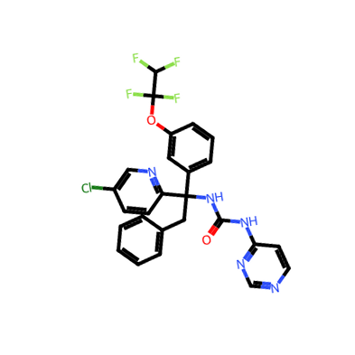 O=C(Nc1ccncn1)NC(Cc1ccccc1)(c1cccc(OC(F)(F)C(F)F)c1)c1ccc(Cl)cn1